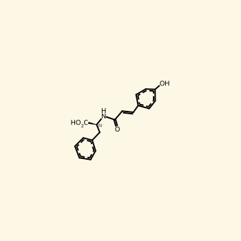 O=C(C=Cc1ccc(O)cc1)N[C@@H](Cc1ccccc1)C(=O)O